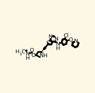 CCNC(=O)O[C@@H]1CN[C@H](C#Cc2cc3c(Nc4ccc(Oc5ccccn5)c(Cl)c4)ncnc3s2)C1